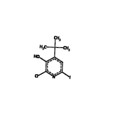 CC(C)(C)c1cc(I)nc(Cl)c1O